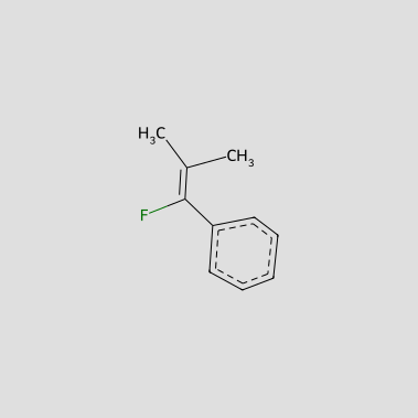 CC(C)=C(F)c1ccccc1